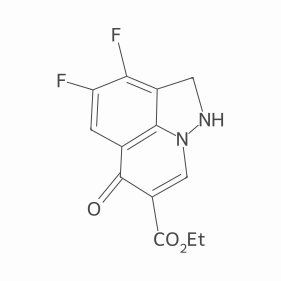 CCOC(=O)c1cn2c3c(c(F)c(F)cc3c1=O)CN2